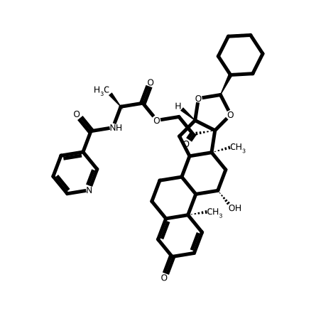 C[C@H](NC(=O)c1cccnc1)C(=O)OCC(=O)[C@@]12O[C@H](C3CCCCC3)O[C@H]1CC1C3CCC4=CC(=O)C=C[C@]4(C)C3[C@@H](O)C[C@@]12C